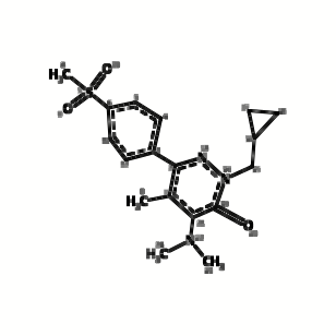 Cc1c(-c2ccc(S(C)(=O)=O)cc2)nn(CC2CC2)c(=O)c1N(C)C